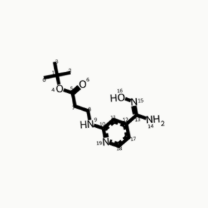 CC(C)(C)OC(=O)CCNc1cc(/C(N)=N\O)ccn1